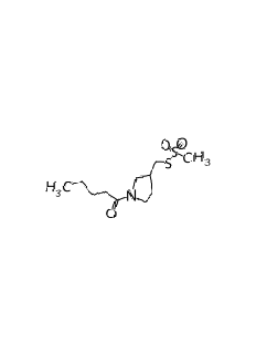 CCCCC(=O)N1CCC(CSS(C)(=O)=O)C1